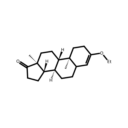 CCOC1=CC2CC[C@@H]3[C@H](CC[C@]4(C)C(=O)CC[C@@H]34)[C@@]2(C)CC1